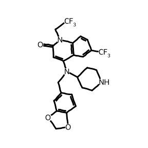 O=c1cc(N(Cc2ccc3c(c2)OCO3)C2CCNCC2)c2cc(C(F)(F)F)ccc2n1CC(F)(F)F